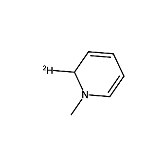 [2H]C1C=CC=CN1C